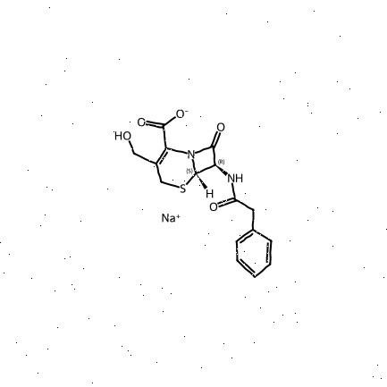 O=C(Cc1ccccc1)N[C@@H]1C(=O)N2C(C(=O)[O-])=C(CO)CS[C@@H]12.[Na+]